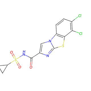 O=C(NS(=O)(=O)C1CC1)c1cn2c(n1)sc1c(Cl)c(Cl)ccc12